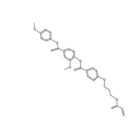 C=CC(=O)OCCCOc1ccc(C(=O)Oc2ccc(C(=O)Oc3ccc(OC)cc3)cc2OC)cc1